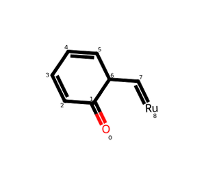 O=C1C=CC=CC1[CH]=[Ru]